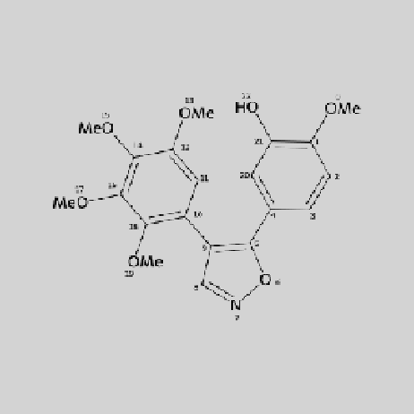 COc1ccc(-c2oncc2-c2cc(OC)c(OC)c(OC)c2OC)cc1O